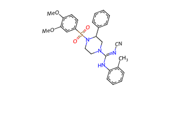 COc1ccc(S(=O)(=O)N2CCN(/C(=N\C#N)Nc3ccccc3C)CC2c2ccccc2)cc1OC